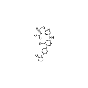 CC(C)c1cc(Nc2cnc3c(c2)N2C(=O)C4(CC4)C[C@H]2CO3)ncc1-c1ccc(N2CCCC2=O)cc1